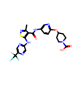 Cc1nsc(Nc2cnc(C(F)(F)F)cn2)c1C(=O)Nc1ccc(OC2CCN(C(=O)O)CC2)nc1